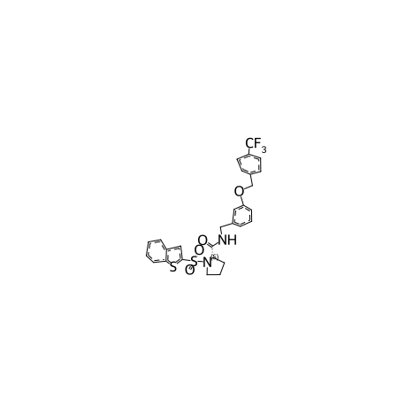 O=C(NCc1cccc(OCc2ccc(C(F)(F)F)cc2)c1)[C@@H]1CCCN1S(=O)(=O)c1cc2ccccc2s1